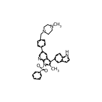 Cc1c(-c2ccc3[nH]ccc3c2)c2cc(-c3ccc(CN4CCN(C)CC4)cc3)cnc2n1S(=O)(=O)c1ccccc1